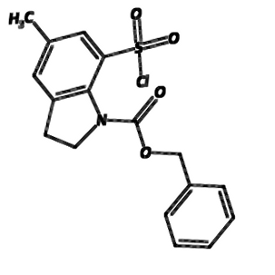 Cc1cc2c(c(S(=O)(=O)Cl)c1)N(C(=O)OCc1ccccc1)CC2